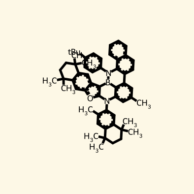 Cc1cc2c3c(c1)N(c1cc4c(cc1C)C(C)(C)CCC4(C)C)c1oc4cc5c(cc4c1B3N(c1ccc(C(C)(C)C)cc1)c1c-2ccc2ccccc12)C(C)(C)CCC5(C)C